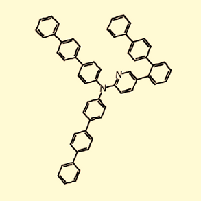 c1ccc(-c2ccc(-c3ccc(N(c4ccc(-c5ccc(-c6ccccc6)cc5)cc4)c4ccc(-c5ccccc5-c5ccc(-c6ccccc6)cc5)cn4)cc3)cc2)cc1